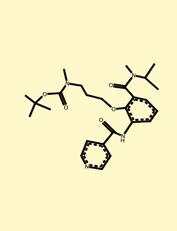 CC(C)N(C)C(=O)c1cccc(NC(=O)c2ccncc2)c1OCCCN(C)C(=O)OC(C)(C)C